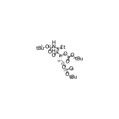 CC[C@@H](NC(=O)OC(C)(C)C)[C@@H](O)[C@@H](CCOC(=O)OC(C)(C)C)OC(=O)OC(C)(C)C